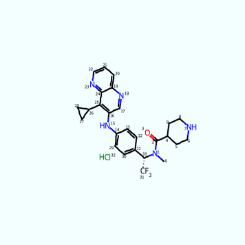 CN(C(=O)C1CCNCC1)[C@@H](c1ccc(Nc2cnc3cccnc3c2C2CC2)cc1)C(F)(F)F.Cl